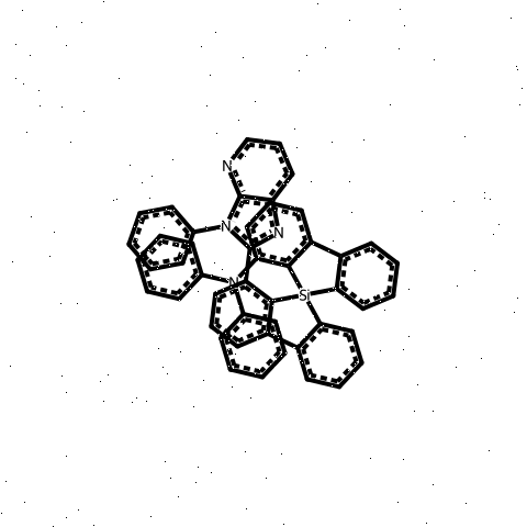 c1ccc(N(c2ccccc2)c2cccc3c2[Si]2(c4ccccc4-c4cccc(-c5nc6cccnc6n5-c5ccccc5)c42)c2ccccc2-3)cc1